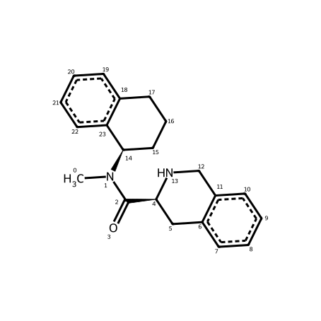 CN(C(=O)[C@@H]1Cc2ccccc2CN1)[C@@H]1CCCc2ccccc21